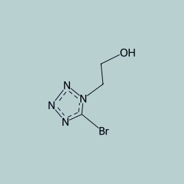 OCCn1nnnc1Br